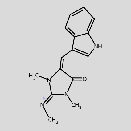 C/N=C1\N(C)C(=O)C(=Cc2c[nH]c3ccccc23)N1C